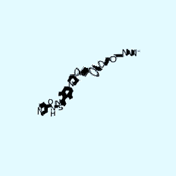 Cc1cc(N2CCC(OCCOCCOCCOCCN=[N+]=[N-])CC2)cc(C)c1-c1csc(NC(=O)c2ccncc2)n1